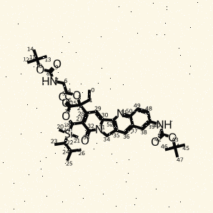 CCC1(OC(=O)CNC(=O)OC(C)(C)C)C(=O)OC([Si](C)(C)C(C)C(C)C)c2c1cc1n(c2=O)Cc2cc3cc(NC(=O)OC(C)(C)C)ccc3nc2-1